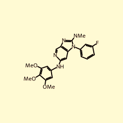 CNc1nc2cnc(Nc3cc(OC)c(OC)c(OC)c3)cc2n1-c1cccc(F)c1